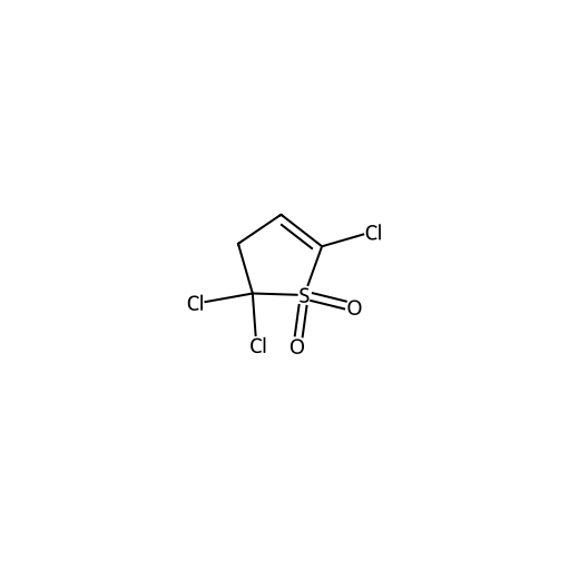 O=S1(=O)C(Cl)=CCC1(Cl)Cl